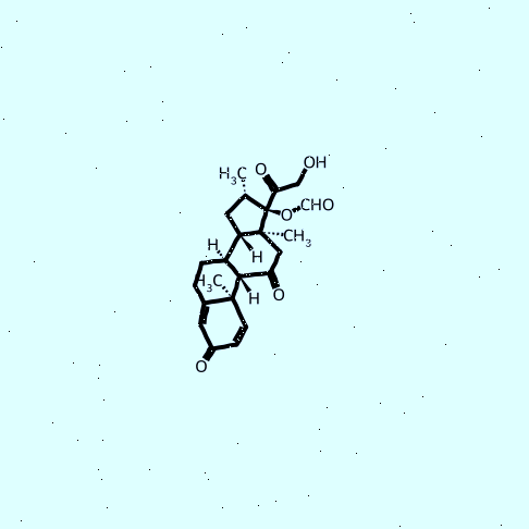 C[C@H]1C[C@H]2[C@@H]3CCC4=CC(=O)C=C[C@]4(C)[C@H]3C(=O)C[C@]2(C)[C@@]1(OC=O)C(=O)CO